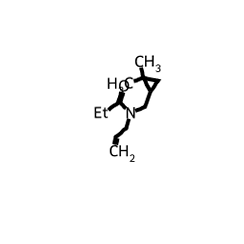 C=CCN(CC1CC1(C)C)C(=O)CC